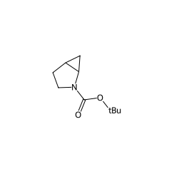 CC(C)(C)OC(=O)N1CCC2CC21